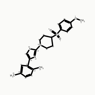 COc1ccc(S(=O)(=O)C2CCN(c3nc(-c4cc(C)ccc4C)cs3)CC2)cc1